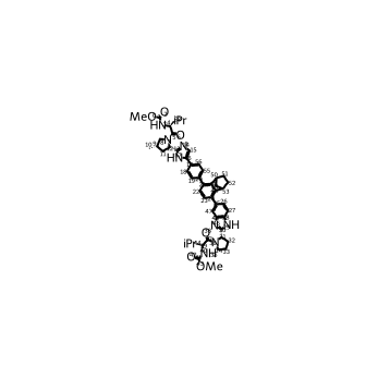 COC(=O)N[C@H](C(=O)N1C[C@@H](C)C[C@H]1c1ncc(-c2ccc(-c3ccc(-c4ccc5[nH]c([C@@H]6CC[C@H](C)N6C(=O)[C@@H](NC(=O)OC)C(C)C)nc5c4)c4c3C3CCC4C3)cc2)[nH]1)C(C)C